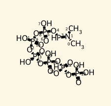 CN(C)POP(=O)(O)OP(=O)(O)OP(=O)(O)OP(=O)(O)OP(=O)(O)OP(=O)(O)O